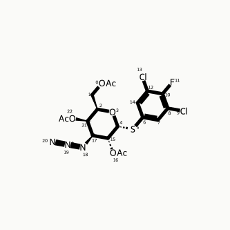 CC(=O)OC[C@H]1O[C@H](Sc2cc(Cl)c(F)c(Cl)c2)[C@H](OC(C)=O)[C@@H](N=[N+]=[N-])[C@H]1OC(C)=O